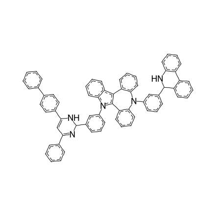 C1=C(c2ccc(-c3ccccc3)cc2)NC(c2cccc(-n3c4c(c5ccccc53)-c3ccccc3N(c3cccc(C5Nc6ccccc6-c6ccccc65)c3)c3ccccc3-4)c2)N=C1c1ccccc1